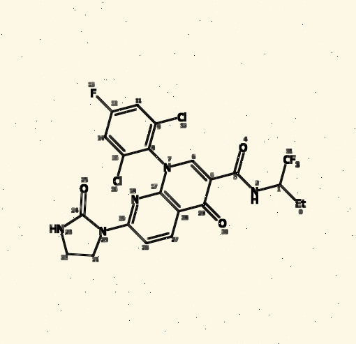 CCC(NC(=O)c1cn(-c2c(Cl)cc(F)cc2Cl)c2nc(N3CCNC3=O)ccc2c1=O)C(F)(F)F